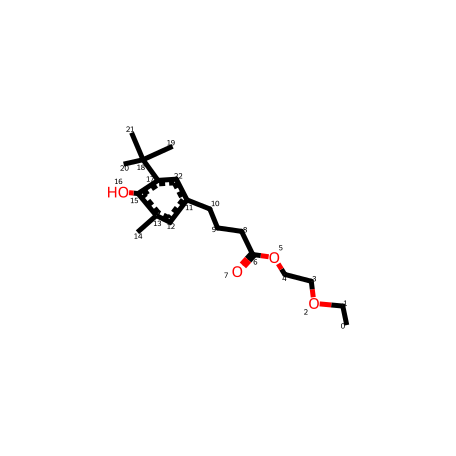 CCOCCOC(=O)CCCc1cc(C)c(O)c(C(C)(C)C)c1